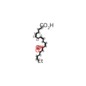 CC/C=C\CC(/C=C/C=C\C/C=C\C/C=C\CCCC(=O)O)OO